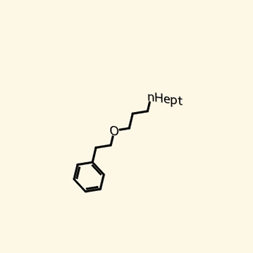 CCCCCCCCCCOCCc1ccccc1